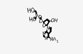 Nc1ncnc2c1ccn2[C@@H]1O[C@H](OOP(O)CO)C[C@@H]1O